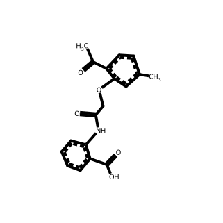 CC(=O)c1ccc(C)cc1OCC(=O)Nc1ccccc1C(=O)O